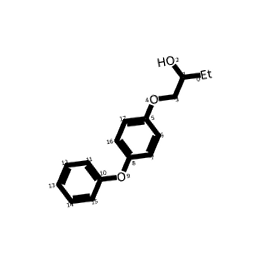 CCC(O)COc1ccc(Oc2ccccc2)cc1